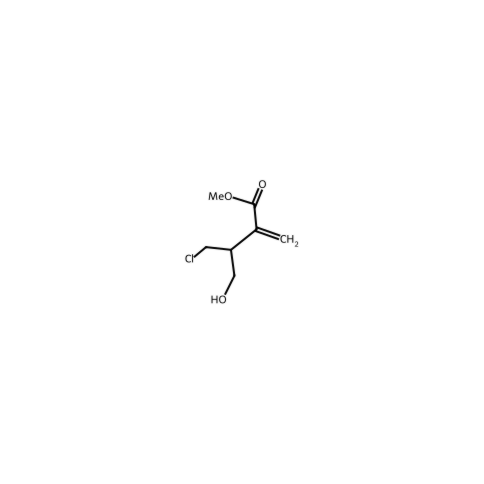 C=C(C(=O)OC)C(CO)CCl